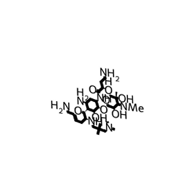 CNC1[C@@H](O)[C@@H](O[C@H]2[C@H](NC(=O)[C@@H](O)CCN)C[C@H](N)C([C@H]3OC(CN)=CC[C@H]3NCC(C)(C)CN(C)C)[C@@H]2O)OC[C@]1(C)O